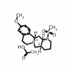 CC(=O)O.COc1ccc2c(c1)CCN1C[C@H]3CCCN(S(C)(=O)=O)[C@H]3C[C@@H]21